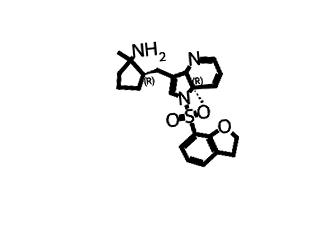 CC1(N)CCC[C@@H]1CC1=CN(S(=O)(=O)c2cccc3c2OCC3)[C@]2(C)C=CC=NC12